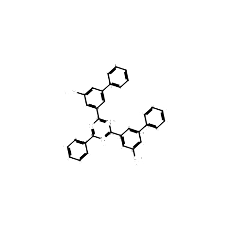 Bc1cc(-c2ccccc2)cc(-c2nc(-c3ccccc3)nc(-c3cc(B)cc(-c4ccccc4)c3)n2)c1